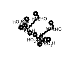 O=CC(Cc1ccccc1)NCCCCCCCCC(Cc1ccccc1)C(Cc1ccccc1)(NC(=O)O)NC(Cc1ccccc1)C(=O)NC(=O)O.O=CC(Cc1ccccc1)NCCCCCCC[C@@H](Cc1ccccc1)C(Cc1ccccc1)(NC(=O)O)N[C@@H](Cc1ccccc1)C(=O)NC(=O)O